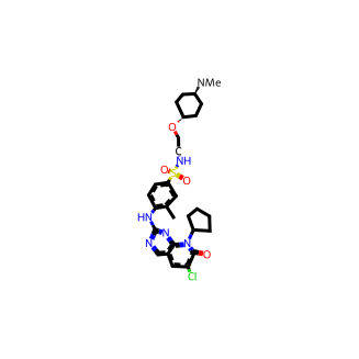 CN[C@H]1CC[C@H](OCCNS(=O)(=O)c2ccc(Nc3ncc4cc(Cl)c(=O)n(C5CCCC5)c4n3)c(C)c2)CC1